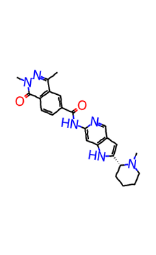 Cc1nn(C)c(=O)c2ccc(C(=O)Nc3cc4[nH]c([C@H]5CCCCN5C)cc4cn3)cc12